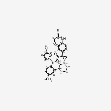 Cc1ccc(C(NC(=O)C2(c3ccc4c(c3)OCC(=O)N4)CC2)c2ccc(Cl)o2)c(N2CCCCC2)c1